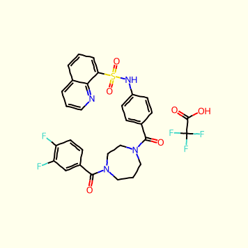 O=C(O)C(F)(F)F.O=C(c1ccc(NS(=O)(=O)c2cccc3cccnc23)cc1)N1CCCN(C(=O)c2ccc(F)c(F)c2)CC1